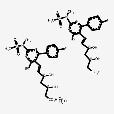 CC(C)c1nc(N(C)S(C)(=O)=O)nc(-c2ccc(F)cc2)c1C=C[C@@H](O)C[C@@H](O)CC(=O)O.CC(C)c1nc(N(C)S(C)(=O)=O)nc(-c2ccc(F)cc2)c1C=C[C@@H](O)C[C@@H](O)CC(=O)O.[CaH2].[Cu]